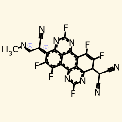 C/N=C/C(C#N)=c1\c(F)c(F)c2c3nc(F)nc4c3c(c3nc(F)nc1c32)C(F)=C(F)C4C(C#N)C#N